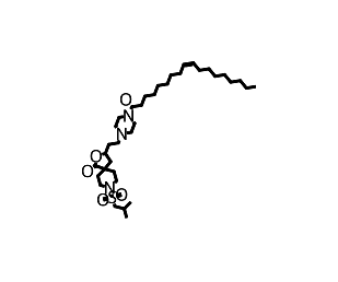 CCCCCCCC/C=C\CCCCCCCC(=O)N1CCN(CCC2CC3(CCN(S(=O)(=O)CC(C)C)CC3)C(=O)O2)CC1